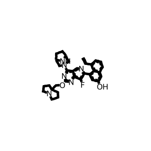 C=Cc1cccc2cc(O)cc(-c3ncc4c(N5CC6CCC(C5)N6)nc(OCC56CCCN5CCC6)nc4c3F)c12